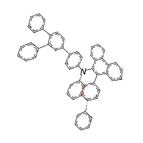 c1ccc(-c2ccc(-c3c(N(c4ccccc4)c4ccc(-c5ccc(-c6ccccc6)c(-c6ccccc6)c5)cc4)c4ccccc4c4ccccc34)cc2)cc1